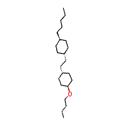 CCCCC[C@H]1CC[C@H](CC[C@H]2CC[C@H](OCCCC)CC2)CC1